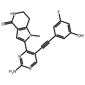 Cn1c(-c2nc(N)ncc2C#Cc2cc(O)cc(F)c2)cc2c1CCNC2=O